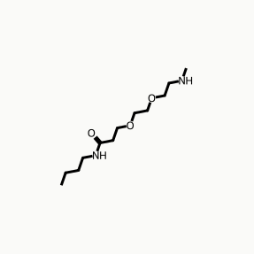 CCCCNC(=O)CCOCCOCCNC